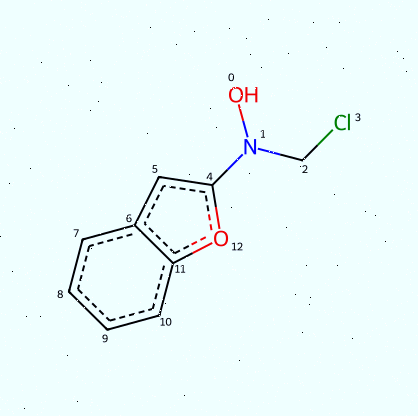 ON(CCl)c1cc2ccccc2o1